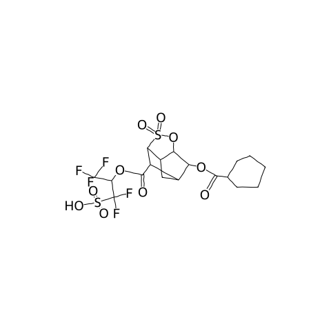 O=C(OC1C2CC3C1OS(=O)(=O)C3C2C(=O)OC(C(F)(F)F)C(F)(F)S(=O)(=O)O)C1CCCCC1